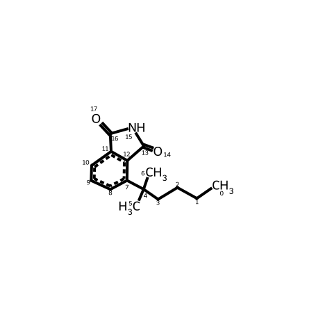 CCCCC(C)(C)c1cccc2c1C(=O)NC2=O